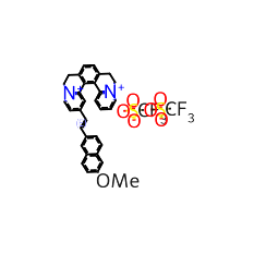 COc1ccc2cc(/C=C/c3cc[n+]4c(c3)-c3c(ccc5c3-c3cccc[n+]3CC5)CC4)ccc2c1.O=S(=O)([O-])C(F)(F)F.O=S(=O)([O-])C(F)(F)F